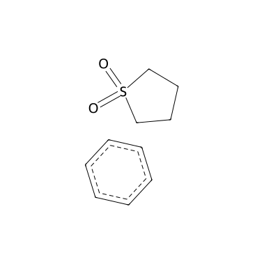 O=S1(=O)CCCC1.c1ccccc1